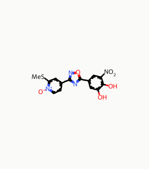 CSc1cc(-c2noc(-c3cc(O)c(O)c([N+](=O)[O-])c3)n2)cc[n+]1[O-]